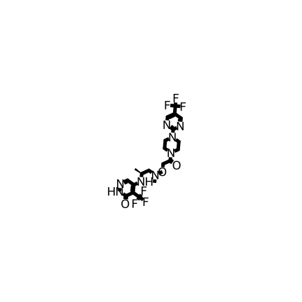 C[C@@H](CN(C)OCC(=O)N1CCN(c2ncc(C(F)(F)F)cn2)CC1)Nc1cn[nH]c(=O)c1C(F)(F)F